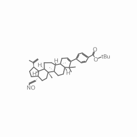 C=C(C)[C@@H]1CC[C@]2(/C=C/N=O)CC[C@]3(C)[C@H](CC[C@@H]4[C@@]5(C)CC=C(c6ccc(C(=O)OC(C)(C)C)cc6)C(C)(C)[C@@H]5CC[C@]43C)[C@@H]12